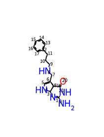 NC1=NC2NC=C(CNCCCc3ccccc3)C2C(=O)N1